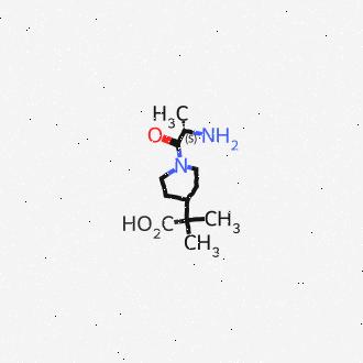 C[C@H](N)C(=O)N1CCC(C(C)(C)C(=O)O)CC1